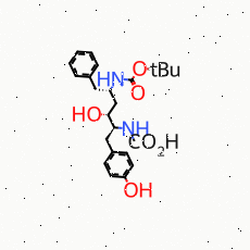 CC(C)(C)OC(=O)N[C@@H](Cc1ccccc1)C[C@@H](O)[C@H](Cc1ccc(O)cc1)NC(=O)O